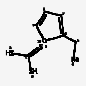 S=C(S)S.[Na][CH2]c1ccco1